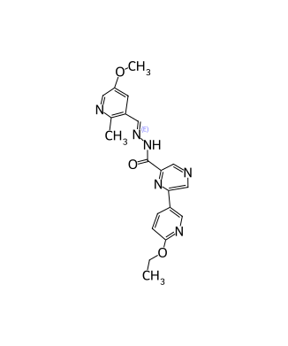 CCOc1ccc(-c2cncc(C(=O)N/N=C/c3cc(OC)cnc3C)n2)cn1